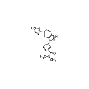 CN(C)C(=O)c1cccc(-c2n[nH]c3ccc(-c4nc[nH]n4)cc23)c1